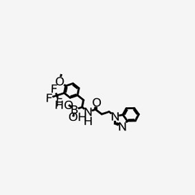 COc1ccc(CC(NC(=O)CCn2cnc3ccccc32)B(O)O)cc1C(F)(F)F